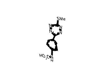 CSc1nnc(-c2ccc(NC(=O)O)cc2)nn1